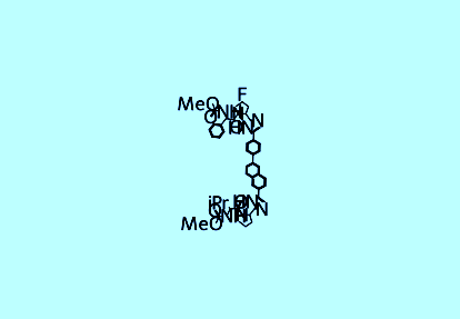 COC(=O)NC(C(=O)N1CC(F)CC1c1ncc(-c2ccc(-c3ccc4cc(-c5cnc(C6CCCN6C(=O)C(NC(=O)OC)C(C)C)[nH]5)ccc4c3)cc2)[nH]1)c1ccccc1